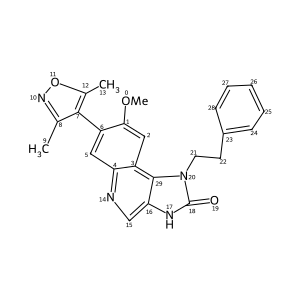 COc1cc2c(cc1-c1c(C)noc1C)ncc1[nH]c(=O)n(CCc3ccccc3)c12